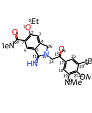 CCOc1cc2c(cc1C(=O)NC)C(=N)N(CC(=O)c1cc(NC)c(OC)c(C(C)(C)C)c1)C2